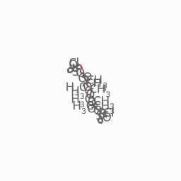 CCC(C)(CC(C)OC(=O)COc1ccc(Cl)c2c(=O)c3ccccc3sc12)OCC(C)(C)COC(C)CC(C)OC(C)(CC)C(=O)COc1ccc(Cl)c2c(=O)c3ccccc3sc12